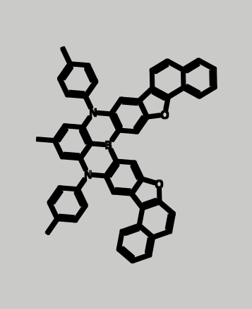 Cc1ccc(N2c3cc4c(cc3B3c5cc6oc7ccc8ccccc8c7c6cc5N(c5ccc(C)cc5)c5cc(C)cc2c53)oc2c3ccccc3ccc42)cc1